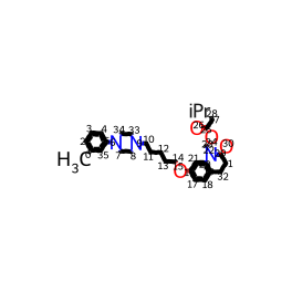 Cc1cccc(N2CCN(CCCCCOc3ccc4c(c3)N(COC(=O)CC(C)C)C(=O)CC4)CC2)c1